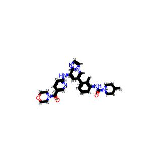 Cc1c(NC(=O)N2CCC(C)CC2)cccc1-c1cc(Nc2ccc(C(=O)N3CCOCC3)cn2)c2nccn2c1